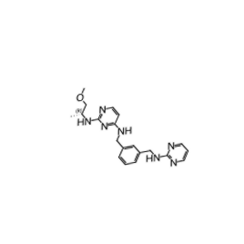 COC[C@@H](C)Nc1nccc(NCc2cccc(CNc3ncccn3)c2)n1